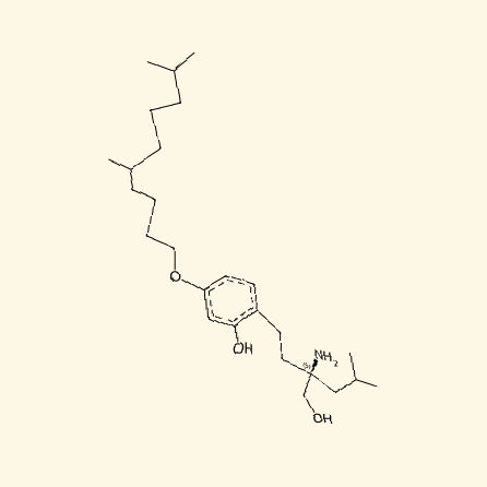 CC(C)CCCC(C)CCCCOc1ccc(CC[C@@](N)(CO)CC(C)C)c(O)c1